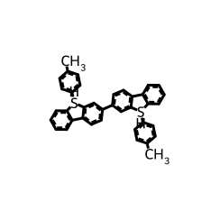 Cc1ccc([SH]2c3ccccc3-c3ccc(-c4ccc5c(c4)[SH](c4ccc(C)cc4)c4ccccc4-5)cc32)cc1